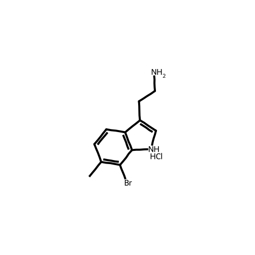 Cc1ccc2c(CCN)c[nH]c2c1Br.Cl